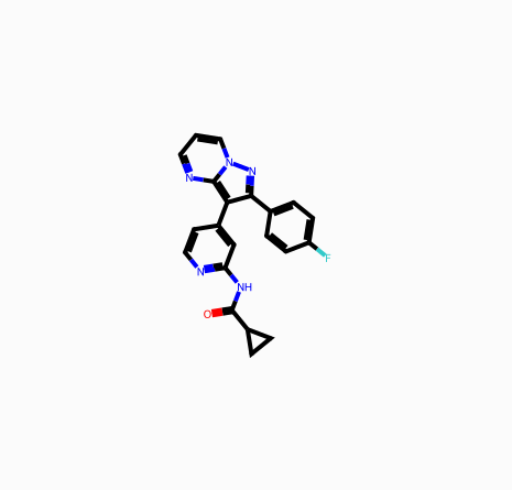 O=C(Nc1cc(-c2c(-c3ccc(F)cc3)nn3cccnc23)ccn1)C1CC1